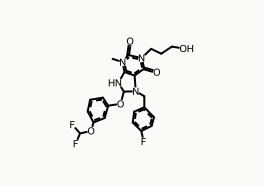 Cn1c2c(c(=O)n(CCCO)c1=O)N(Cc1ccc(F)cc1)C(Oc1cccc(OC(F)F)c1)N2